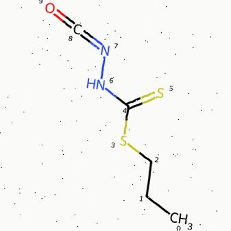 CCCSC(=S)NN=C=O